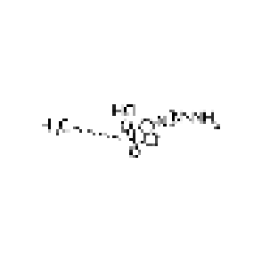 CCCCCCCCCCN1C(=O)c2cccc3c(N4CCN(CCN)CC4)ccc(c23)C1=O.Cl